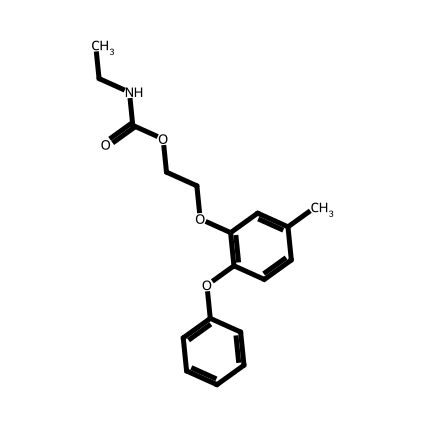 CCNC(=O)OCCOc1cc(C)ccc1Oc1ccccc1